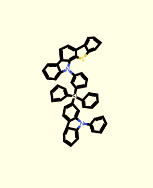 c1ccc(-n2c3ccccc3c3ccc([Si](c4ccccc4)(c4ccccc4)c4cccc(-n5c6ccccc6c6ccc7c8ccccc8sc7c65)c4)cc32)cc1